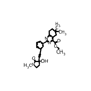 CCOC(=O)c1nc(-c2cccc(C#C[C@]3(O)CCN(C)C3=O)c2)nc2c1CC(C)(C)CC2